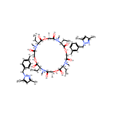 CC(C)C[C@H]1C(=O)O[C@H](Cc2cccc(Cn3nc(C(C)C)cc3C(C)C)c2)C(=O)N(C)[C@@H](CC(C)C)C(=O)O[C@H](C)C(=O)N(C)[C@@H](CC(C)C)C(=O)O[C@H](Cc2ccc(Cn3nc(C(C)C)cc3C(C)C)cc2)C(=O)N(C)[C@@H](CC(C)C)C(=O)O[C@H](C)C(=O)N1C